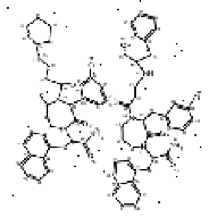 CC1CCN(C(Cc2cccc3ccccc23)C(N)=O)C(=O)C(c2cccc(Cl)c2)N1C(=O)CCNC1CCCCC1.NC(=O)C(Cc1cccc2ccccc12)N1CCCN(C(=O)CCNC(CO)Cc2ccccc2)C(Cc2cccc(Cl)c2)C1=O